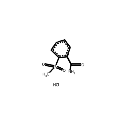 CS(=O)(=O)c1ccccc1C(N)=O.Cl